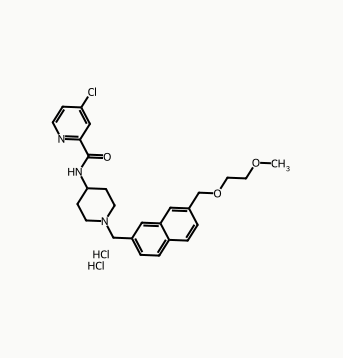 COCCOCc1ccc2ccc(CN3CCC(NC(=O)c4cc(Cl)ccn4)CC3)cc2c1.Cl.Cl